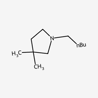 CCCCCN1CCC(C)(C)C1